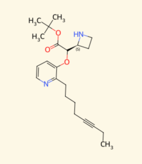 CCC#CCCCCc1ncccc1OC(C(=O)OC(C)(C)C)[C@@H]1CCN1